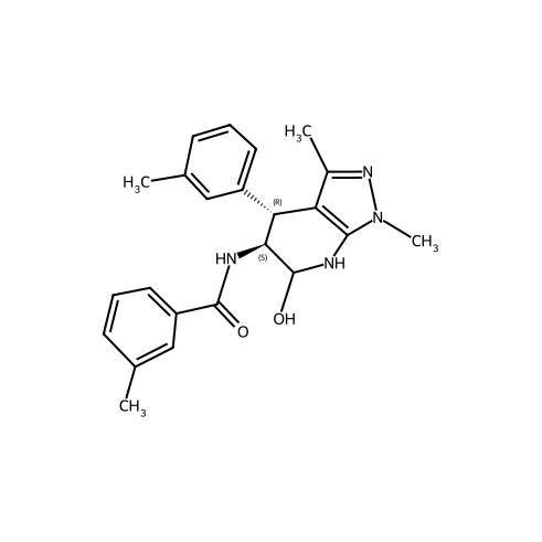 Cc1cccc(C(=O)N[C@@H]2C(O)Nc3c(c(C)nn3C)[C@H]2c2cccc(C)c2)c1